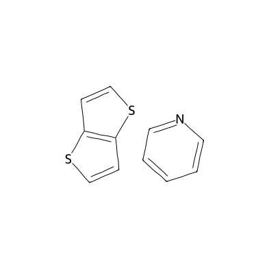 c1cc2sccc2s1.c1ccncc1